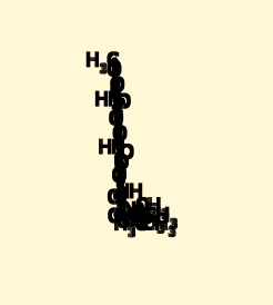 CCOCCOCCNC(=O)CCOCCOCCNC(=O)COCCOCCNC(=O)CCC(NC(=O)C(C)(CC)CC(C)(C)C)C(=O)O